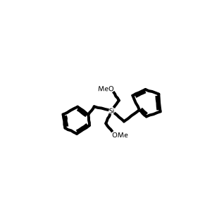 COC[Si](COC)(Cc1ccccc1)Cc1ccccc1